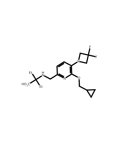 CCC(CC)(NCc1ccc(N2CC(F)(F)C2)c(OCC2CC2)n1)C(=O)O